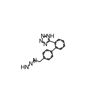 N=[N+]=NCc1ccc(-c2ccccc2-c2nnn[nH]2)cc1